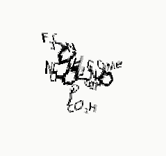 COc1cccc(Cl)c1N(C)C(=O)c1cc(-c2cnc(C(F)(F)F)cc2C#N)c(Cl)cc1OCCCC(=O)O